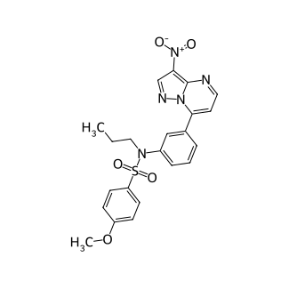 CCCN(c1cccc(-c2ccnc3c([N+](=O)[O-])cnn23)c1)S(=O)(=O)c1ccc(OC)cc1